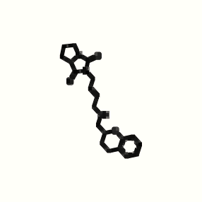 O=C1C2CCCN2C(=O)N1CC=CCNCC1CCc2ccccc2O1